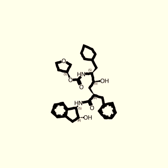 O=C(N[C@@H](CC1CCCCC1)[C@@H](O)C[C@@H](Cc1ccccc1)C(=O)N[C@H]1c2ccccc2C[C@H]1O)O[C@H]1CCOC1